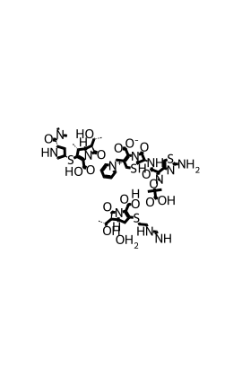 CC(C)(O/N=C(\C(=O)N[C@@H]1C(=O)N2C(C(=O)[O-])=C(C[n+]3ccccc3)CS[C@H]12)c1csc(N)n1)C(=O)O.C[C@@H](O)[C@H]1C(=O)N2C(C(=O)O)=C(SCCNC=N)C[C@H]12.C[C@@H](O)[C@H]1C(=O)N2C(C(=O)O)=C(S[C@@H]3CN[C@H](C(=O)N(C)C)C3)[C@H](C)[C@H]12.O